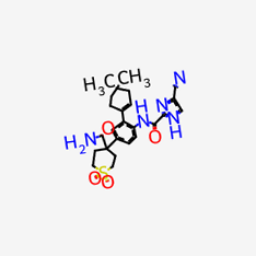 CC1(C)CC=C(c2cc(C3(C(N)=O)CCS(=O)(=O)CC3)ccc2NC(=O)c2nc(C#N)c[nH]2)CC1